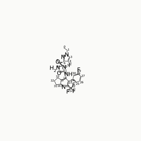 CCn1cc(F)c(S(N)(=O)=NC(=O)Nc2c3c(nc(C(F)(F)F)c2-c2cccc(F)c2)CCC3)n1